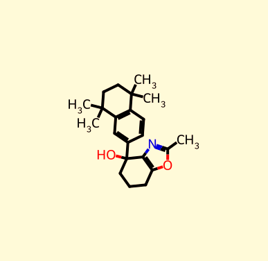 Cc1nc2c(o1)CCCC2(O)c1ccc2c(c1)C(C)(C)CCC2(C)C